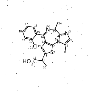 Cc1cnc2n1-c1sc(C(C)C(=O)O)cc1C(c1ccccc1Cl)=NC2C